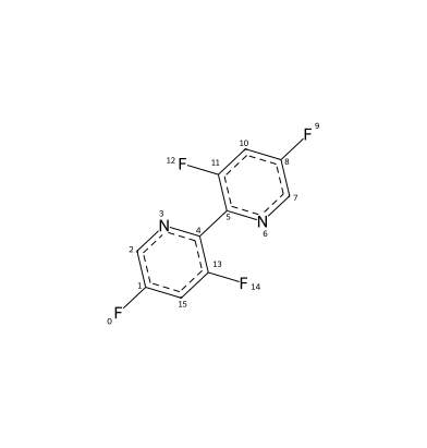 Fc1cnc(-c2ncc(F)cc2F)c(F)c1